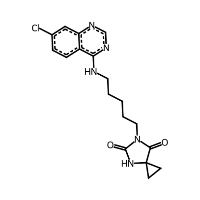 O=C1NC2(CC2)C(=O)N1CCCCCNc1ncnc2cc(Cl)ccc12